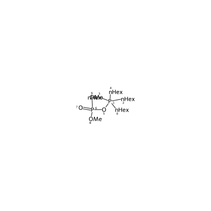 CCCCCCP(CCCCCC)(CCCCCC)(CCCCCC)OP(=O)(OC)OC